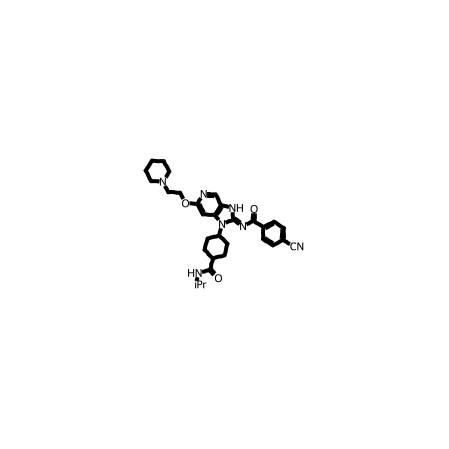 CC(C)NC(=O)C1CCC(n2/c(=N/C(=O)c3ccc(C#N)cc3)[nH]c3cnc(OCCN4CCCCC4)cc32)CC1